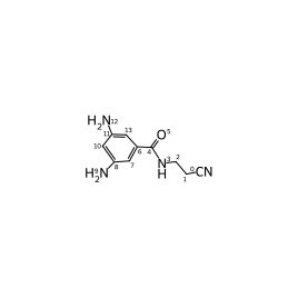 N#CCCNC(=O)c1cc(N)cc(N)c1